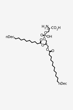 CCCCCCCCCCCCCCCCCCCCCC(=O)OC[C@H](COP(=O)(O)OC[C@H](N)C(=O)O)OC(=O)CCCCCCCCCCCCCCCCCCC